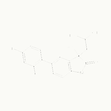 Cc1cc(F)ccc1-c1ccc2c(c1)C(C)(CC(C)C)C(=O)N2